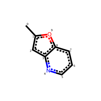 Cc1cc2ncc[c]c2o1